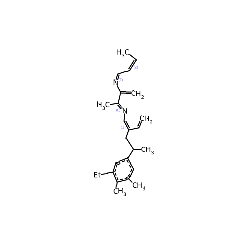 C=C/C(=C\N=C(/C)C(=C)/N=C\C=C/C)CC(C)c1cc(C)c(C)c(CC)c1